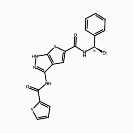 CC[C@@H](NC(=O)c1cc2c(NC(=O)c3cccs3)n[nH]c2s1)c1ccccc1